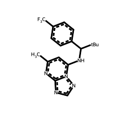 Cc1cc(NC(c2ccc(C(F)(F)F)cc2)C(C)(C)C)n2ncnc2n1